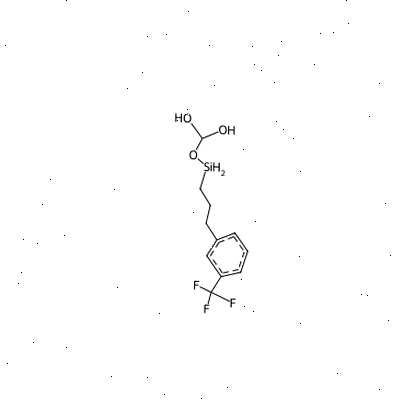 OC(O)O[SiH2]CCCc1cccc(C(F)(F)F)c1